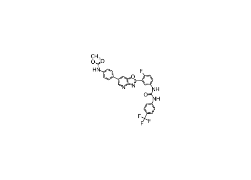 COC(=O)Nc1ccc(-c2cnc3nc(-c4cc(NC(=O)Nc5ccc(C(F)(F)F)cc5)ccc4F)oc3c2)cc1